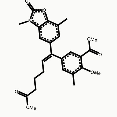 COC(=O)CCCC=C(c1cc(C)c(OC)c(C(=O)OC)c1)c1cc(C)c2oc(=O)n(C)c2c1